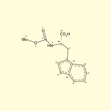 CC(C)(C)OC(=O)N[C@@H](Cc1csc2ccccc12)C(=O)O